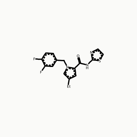 CCc1cc(C(=O)Nc2nccs2)n(Cc2ccc(F)c(F)c2)c1